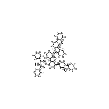 c1ccc(C2=NC(c3ccc(-c4ccc5c(c4)oc4ccccc45)c4oc5c(-n6c7ccccc7c7c8sc9ccccc9c8ccc76)cccc5c34)=NC(c3ccccc3)N2)cc1